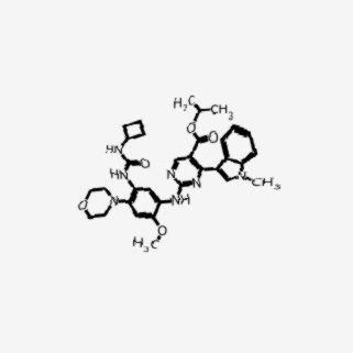 COc1cc(N2CCOCC2)c(NC(=O)NC2CCC2)cc1Nc1ncc(C(=O)OC(C)C)c(-c2cn(C)c3ccccc23)n1